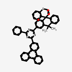 CC1(C)c2ccccc2C2(c3ccccc3Sc3ccccc32)c2ccc(-c3nc(-c4ccccc4)nc(-c4ccc5c6ccccc6c6ccccc6c5c4)n3)cc21